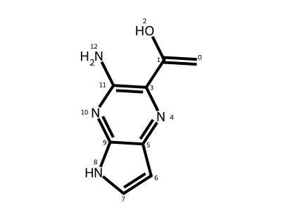 C=C(O)c1nc2cc[nH]c2nc1N